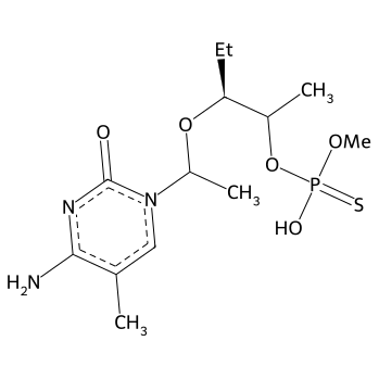 CC[C@H](OC(C)n1cc(C)c(N)nc1=O)C(C)OP(O)(=S)OC